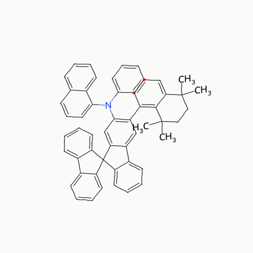 CC1(C)CCC(C)(C)c2c(-c3cc4c(cc3N(c3ccccc3)c3cccc5ccccc35)C3(c5ccccc5-c5ccccc53)c3ccccc3-4)cccc21